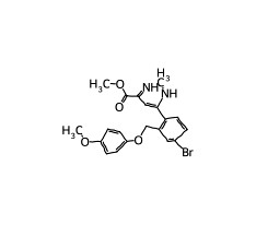 CN/C(=C\C(=N)C(=O)OC)c1ccc(Br)cc1COc1ccc(OC)cc1